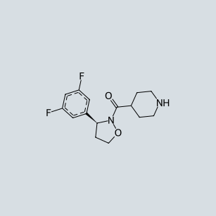 O=C(C1CCNCC1)N1OCC[C@H]1c1cc(F)cc(F)c1